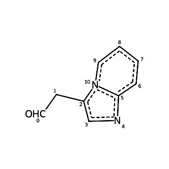 O=CCc1cnc2ccccn12